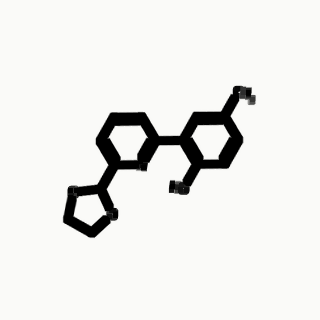 Cc1ccc(O)c(-c2cccc(C3OCCO3)n2)c1